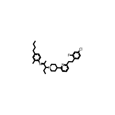 CCCCc1ccc(/N=C(\C)C(CC)N2CCC(c3cccc(CCc4ccc(Cl)cc4F)n3)CC2)c(C)c1